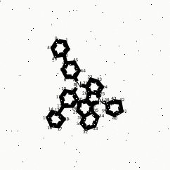 c1ccc(-c2ccc(N(c3ccc(-c4ccccc4)cc3)c3cccc4c3c3ccc5ccccc5c3n4-c3ccccc3)cc2)cc1